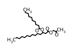 CCCCCCCCCCCC(CC(=O)OCC(C)=O)OC(=O)CCCCCCCCC